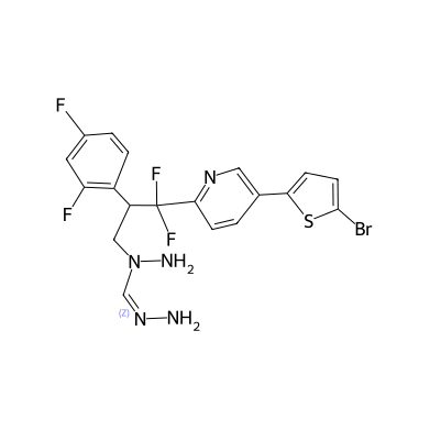 N/N=C\N(N)CC(c1ccc(F)cc1F)C(F)(F)c1ccc(-c2ccc(Br)s2)cn1